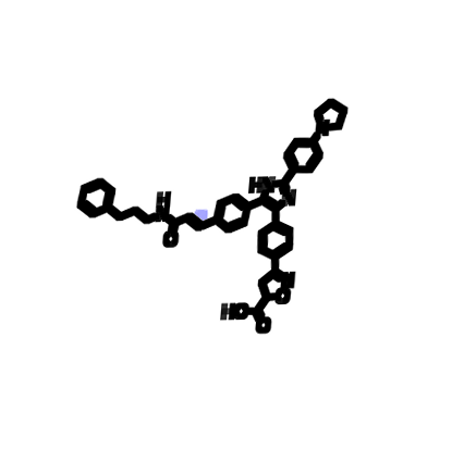 O=C(/C=C/c1ccc(-c2[nH]c(-c3ccc(N4CCCC4)cc3)nc2-c2ccc(C3=NOC(C(=O)O)C3)cc2)cc1)NCCCc1ccccc1